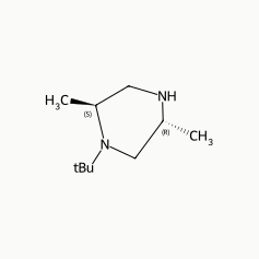 C[C@@H]1CN(C(C)(C)C)[C@@H](C)CN1